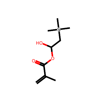 C=C(C)C(=O)OC(O)C[Si](C)(C)C